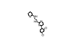 Clc1ccc(-c2ccnc(NCCNc3ccccn3)n2)c(Cl)c1